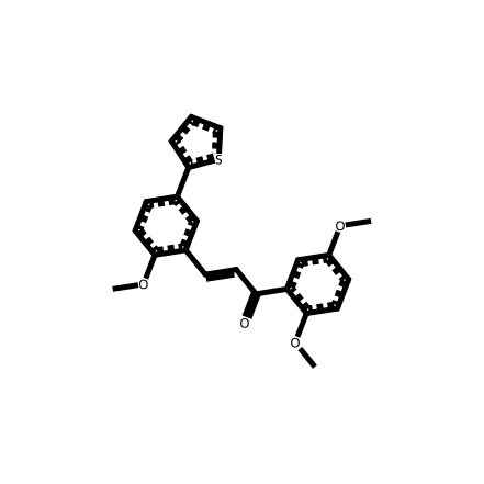 COc1ccc(OC)c(C(=O)C=Cc2cc(-c3cccs3)ccc2OC)c1